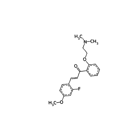 COc1ccc(C=CC(=O)c2ccccc2OCCN(C)C)c(F)c1